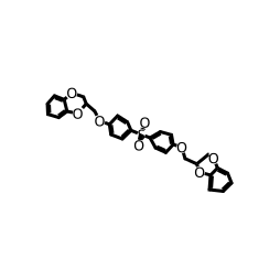 O=S(=O)(c1ccc(OCC2COc3ccccc3O2)cc1)c1ccc(OCC2COc3ccccc3O2)cc1